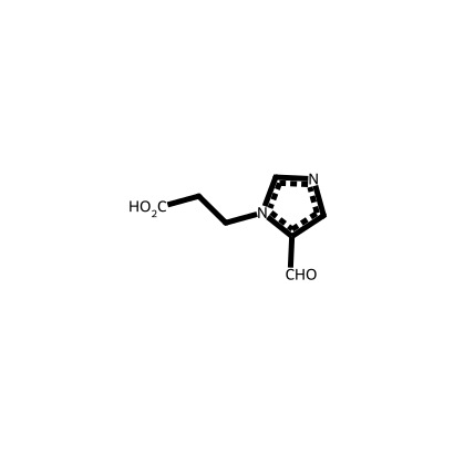 O=Cc1cncn1CCC(=O)O